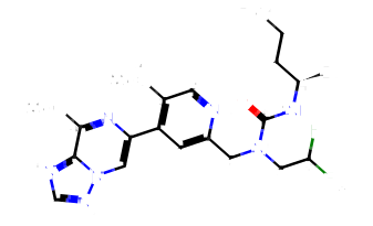 CC[C@H](CCC(F)(F)F)NC(=O)N(Cc1cc(-c2cn3ncnc3c(OC)n2)c(OC)cn1)CC(F)F